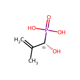 C=C(C)[C@@H](O)P(=O)(O)O